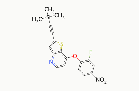 C[Si](C)(C)C#Cc1cc2nccc(Oc3ccc([N+](=O)[O-])cc3F)c2s1